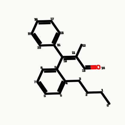 CCCCc1ccccc1C(=C(C)C=O)c1ccccc1